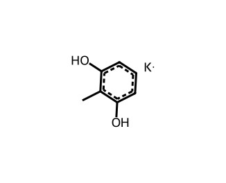 Cc1c(O)cccc1O.[K]